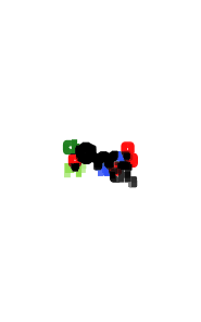 COc1ncc(-c2ccc(Cl)c(OC(F)F)c2)cc1CN1CCOC1=O